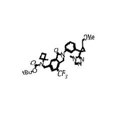 COCC1CC1(c1cccc(N2Cc3c(cc(CN(C(=O)OC(C)(C)C)C4(C)CCC4)cc3C(F)(F)F)C2=O)c1)c1nncn1C